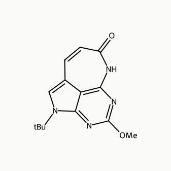 COc1nc2c3c(cn(C(C)(C)C)c3n1)C=CC(=O)N2